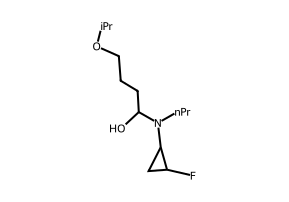 CCCN(C(O)CCCOC(C)C)C1CC1F